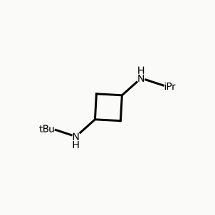 CC(C)NC1CC(NC(C)(C)C)C1